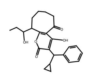 CCC(O)C1CCCCC(=O)c2c1oc(=O)c(C(c1ccccc1)C1CC1)c2O